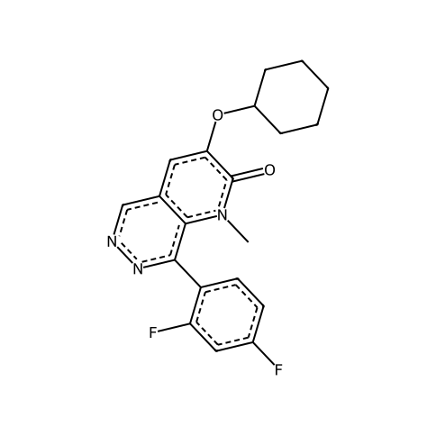 Cn1c(=O)c(OC2CCCCC2)cc2cnnc(-c3ccc(F)cc3F)c21